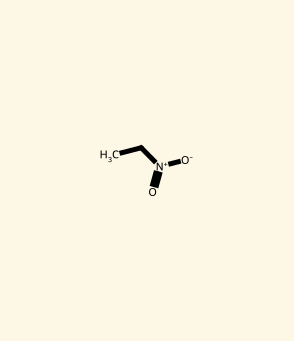 C[CH][N+](=O)[O-]